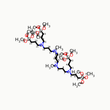 CO[Si](CCCN(CCCN(C)CCCN(C)CCCN(CCC[Si](OC)(OC)OC)CCC[Si](OC)(OC)OC)CCC[Si](OC)(OC)OC)(OC)OC